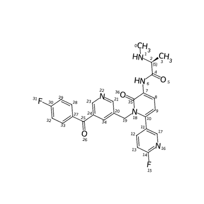 CN[C@@H](C)C(=O)Nc1ccc(-c2ccc(F)nc2)n(Cc2cncc(C(=O)c3ccc(F)cc3)c2)c1=O